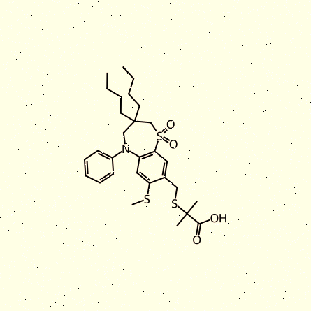 CCCCC1(CCCC)CN(c2ccccc2)c2cc(SC)c(CSC(C)(C)C(=O)O)cc2S(=O)(=O)C1